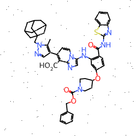 Cc1c(-c2ccn3c(Nc4cc(OC5CCN(C(=O)OCc6ccccc6)CC5)ccc4C(=O)Nc4nc5ccccc5s4)cnc3c2C(=O)O)cnn1CC12CC3CC(CC(C3)C1)C2